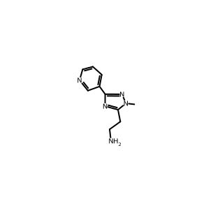 Cn1nc(-c2cccnc2)nc1CCN